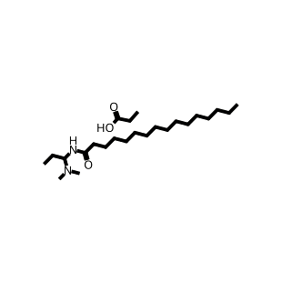 CCC(=O)O.CCCCCCCCCCCCCCCC(=O)NC(CC)N(C)C